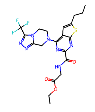 CCCc1cc2c(N3CCn4c(nnc4C(F)(F)F)C3)nc(C(=O)NCC(=O)OCC)nc2s1